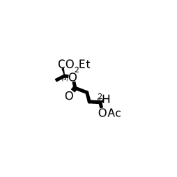 [2H][C@@H](CCC(=O)O[C@@H](C)C(=O)OCC)OC(C)=O